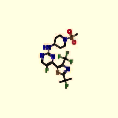 CC(C)(F)c1nc(C(F)(F)F)c(-c2nc(NC3CCN(S(C)(=O)=O)CC3)ncc2F)s1